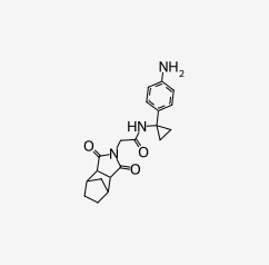 Nc1ccc(C2(NC(=O)CN3C(=O)C4C5CCC(C5)C4C3=O)CC2)cc1